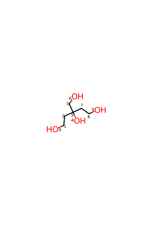 OCCC(O)(CO)CCO